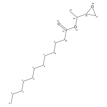 CCCCCCCCCCCC(=O)OC(C)C1CO1